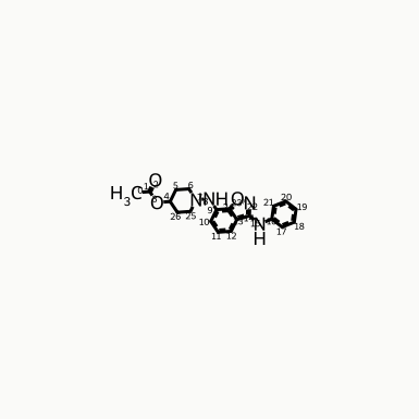 CC(=O)OC1CCN(Nc2cccc3c(Nc4ccccc4)noc23)CC1